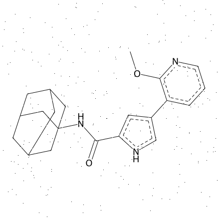 COc1ncccc1-c1c[nH]c(C(=O)NC23CC4CC(CC(C4)C2)C3)c1